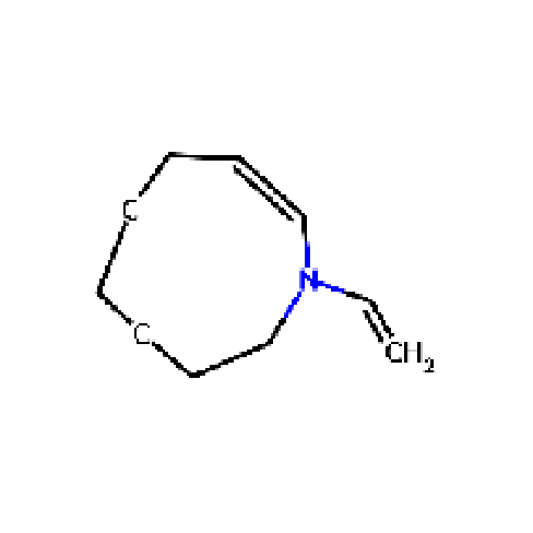 C=CN1C=CCCCCCC1